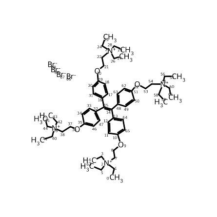 CC[N+](CC)(CC)CCOc1ccc(C(=C(c2ccc(OCC[N+](CC)(CC)CC)cc2)c2ccc(OCC[N+](CC)(CC)CC)cc2)c2ccc(OCC[N+](CC)(CC)CC)cc2)cc1.[Br-].[Br-].[Br-].[Br-]